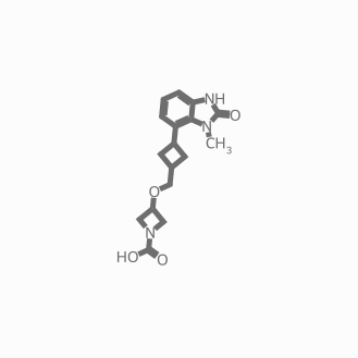 Cn1c(=O)[nH]c2cccc(C3CC(COC4CN(C(=O)O)C4)C3)c21